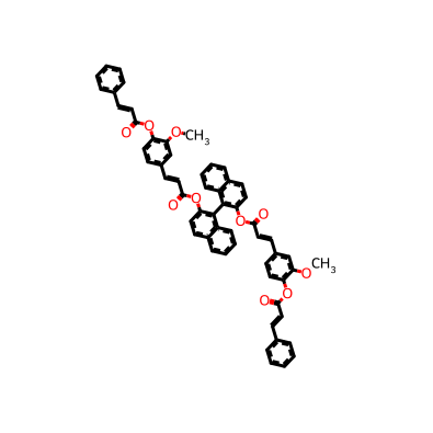 COc1cc(/C=C/C(=O)Oc2ccc3ccccc3c2-c2c(OC(=O)/C=C/c3ccc(OC(=O)/C=C/c4ccccc4)c(OC)c3)ccc3ccccc23)ccc1OC(=O)/C=C/c1ccccc1